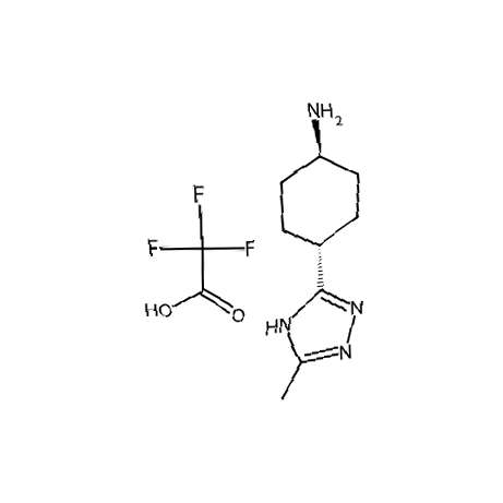 Cc1nnc([C@H]2CC[C@H](N)CC2)[nH]1.O=C(O)C(F)(F)F